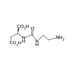 NCCNC(=O)N[C@@H](CC(=O)O)C(=O)O